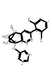 CC1(C)[C@H]2CC[C@]1(Oc1cncnc1)c1nnc(-c3c(F)cccc3F)cc12